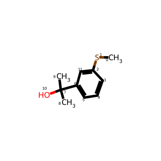 CSc1cccc(C(C)(C)O)c1